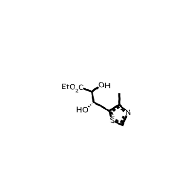 CCOC(=O)C(O)[C@@H](O)c1scnc1C